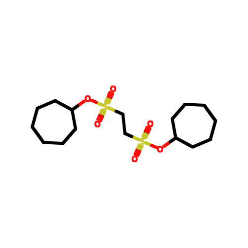 O=S(=O)(CCS(=O)(=O)OC1CCCCCC1)OC1CCCCCC1